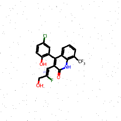 O=c1[nH]c2c(C(F)(F)F)cccc2c(-c2cc(Cl)ccc2O)c1/C=C(\F)CO